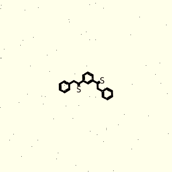 S=C(Cc1ccccc1)c1cccc(C(=S)Cc2ccccc2)c1